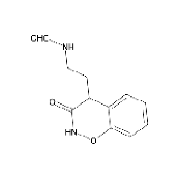 O=CNCCC1C(=O)NOc2ccccc21